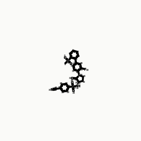 CS(=O)(=O)c1ccccc1-c1ccc(N2CC[C@H](NS(=O)(=O)c3ccc(C#N)cc3)C2=O)c(F)c1